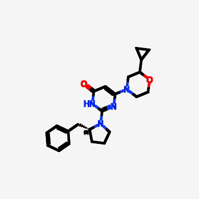 O=c1cc(N2CCOC(C3CC3)C2)nc(N2CCC[C@@H]2Cc2ccccc2)[nH]1